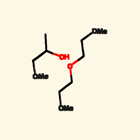 COCC(C)O.COCCOCCOC